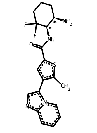 Cc1sc(C(=O)N[C@@H]2[C@H](N)CCCC2(F)F)cc1-c1cnc2ccccn12